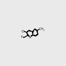 Cc1ccc2nc(CF)c(Cl)cc2c1